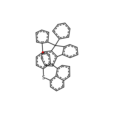 c1ccc(C2(c3ccccc3-c3ccc4c(c3)-c3cccc5cccc(c35)S4)c3ccccc3-c3ccccc32)cc1